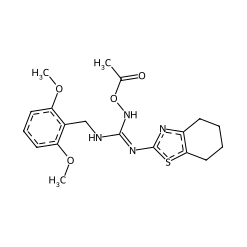 COc1cccc(OC)c1CNC(=Nc1nc2c(s1)CCCC2)NOC(C)=O